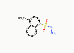 NNS(=O)(=O)c1ccc(C(=O)O)c2ccccc12